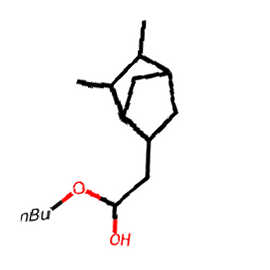 CCCCOC(O)CC1CC2CC1C(C)C2C